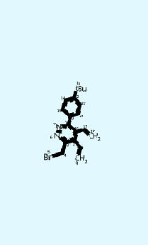 C=Cc1c(CBr)nnc(-c2ccc(C(C)(C)C)cc2)c1C=C